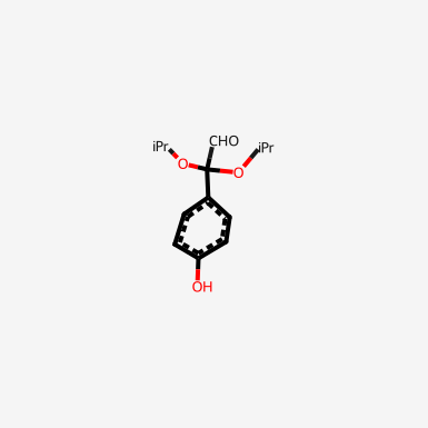 CC(C)OC(C=O)(OC(C)C)c1ccc(O)cc1